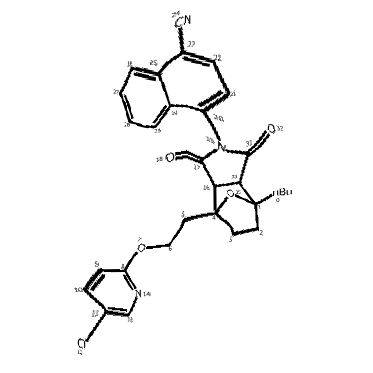 CCCCC12CCC(CCOc3ccc(Cl)cn3)(O1)C1C(=O)N(c3ccc(C#N)c4ccccc34)C(=O)C12